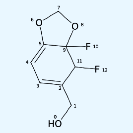 OCC1=CC=C2OCOC2(F)C1F